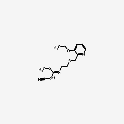 CCOc1cccnc1CSCC/N=C(/NC#N)SC